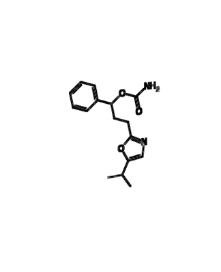 CC(C)c1cnc(CCC(OC(N)=O)c2ccccc2)o1